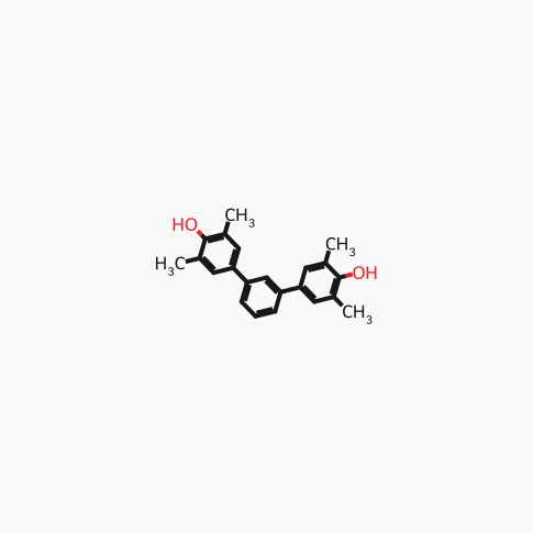 Cc1cc(-c2cccc(-c3cc(C)c(O)c(C)c3)c2)cc(C)c1O